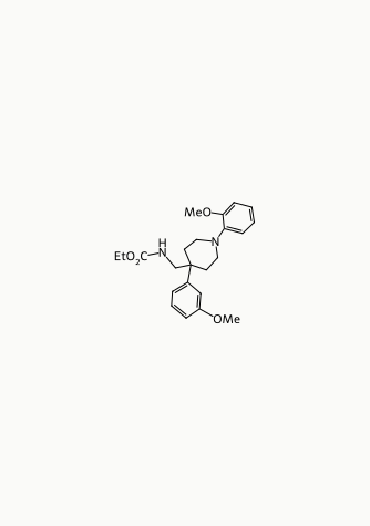 CCOC(=O)NCC1(c2cccc(OC)c2)CCN(c2ccccc2OC)CC1